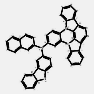 c1ccc2cc(N(c3ccc4oc5ccccc5c4c3)c3ccc4c(c3)n3c5ccccc5c5ccc6c7ccccc7n4c6c53)ccc2c1